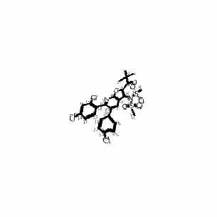 CC(C)(C)C(=O)c1oc2nc(-c3ccc(Cl)cc3Cl)c(-c3ccc(Cl)cc3)cc2c1N(S(C)(=O)=O)S(C)(=O)=O